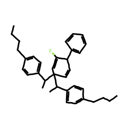 CCCCc1ccc(C(C)C2(C(C)c3ccc(CCCC)cc3)C=CC(c3ccccc3)C(F)=C2)cc1